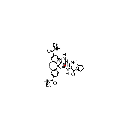 CCNC(=O)c1ccc2c(c1)CCc1cc(C(=O)NCC)ccc1C2(C[C@H](C)NCC(=O)N1CCC[C@H]1C#N)c1nn[nH]n1